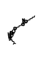 CCCCCCCCOC[C@@H](CN(C)C)OCCCCCCOC1CC[C@@]2(C)C(=CC[C@H]3[C@@H]4CC[C@H]([C@H](C)CCCC(C)C)[C@@]4(C)CC[C@@H]32)C1